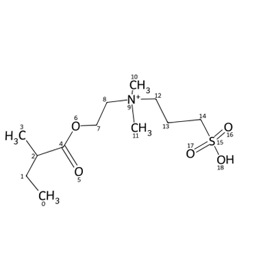 CCC(C)C(=O)OCC[N+](C)(C)CCCS(=O)(=O)O